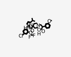 COc1cccc(C(CN2CCC(C(=O)Nc3ccc(Cl)cc3OC(F)F)(n3nccc3C(C)C)CC2)C(=O)O)c1